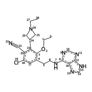 CCOc1c(CCNc2ncnc3[nH]cnc23)cc(Cl)c(C#N)c1C1CN(CC)C1